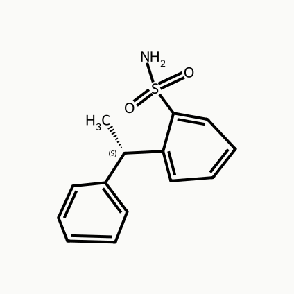 C[C@@H](c1ccccc1)c1ccccc1S(N)(=O)=O